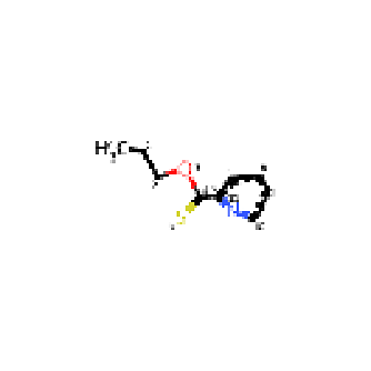 CCCOC(=S)c1ccccn1